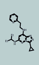 CCC(CC)Nc1cc(NCCc2ccccn2)c2nnc(C3CC3)n2n1